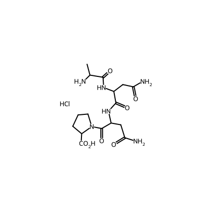 CC(N)C(=O)NC(CC(N)=O)C(=O)NC(CC(N)=O)C(=O)N1CCCC1C(=O)O.Cl